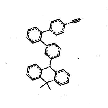 CC1(C)c2ccccc2N(c2cccc(-c3ccccc3-c3ccc(C#N)cn3)c2)c2ccccc21